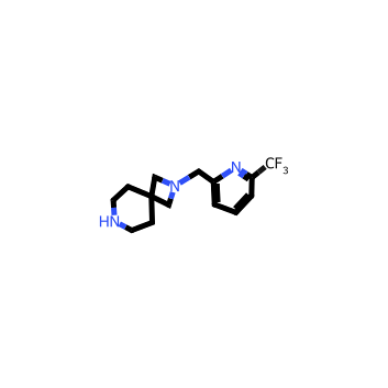 FC(F)(F)c1cccc(CN2CC3(CCNCC3)C2)n1